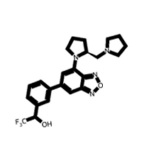 OC(c1cccc(-c2cc(N3CCC[C@H]3CN3CCCC3)c3nonc3c2)c1)C(F)(F)F